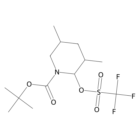 CC1CC(C)C(OS(=O)(=O)C(F)(F)F)N(C(=O)OC(C)(C)C)C1